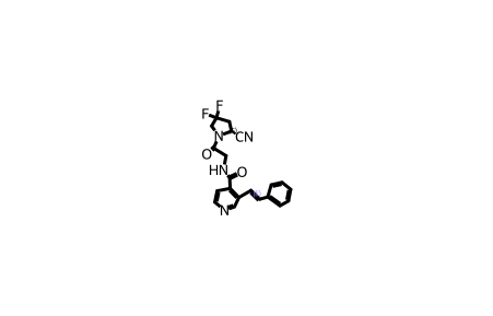 N#C[C@@H]1CC(F)(F)CN1C(=O)CNC(=O)c1ccncc1/C=C/c1ccccc1